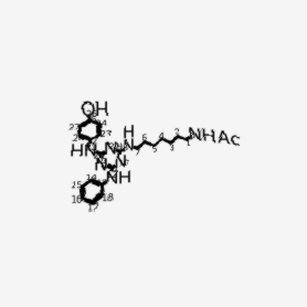 CC(=O)NCCCCCCCNc1nc(Nc2ccccc2)nc(Nc2ccc(O)cc2)n1